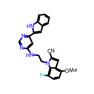 COc1ccc(F)c2c1cc(C#N)n2CCNc1cc(-c2cc3ccccc3[nH]2)ncn1